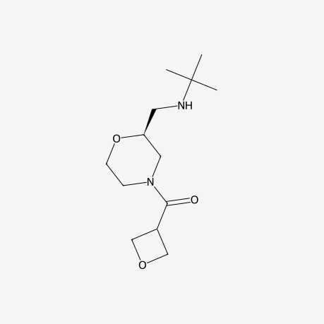 CC(C)(C)NC[C@H]1CN(C(=O)C2COC2)CCO1